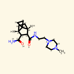 CN1CCN(CCNC(=O)C2C(C(N)=O)[C@@H]3CC[C@H]2C32CC2)CC1